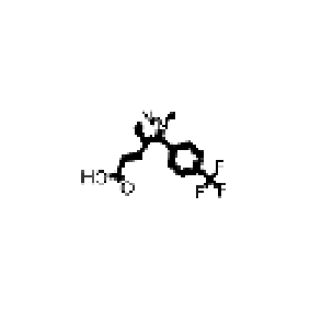 Cn1ncc(C=CC(=O)O)c1-c1ccc(C(F)(F)F)cc1